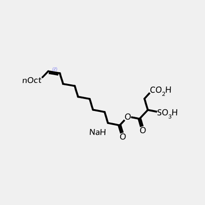 CCCCCCCC/C=C\CCCCCCCC(=O)OC(=O)C(CC(=O)O)S(=O)(=O)O.[NaH]